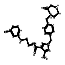 Nc1nn(Cc2ccc(CN3CCOCC3=O)cc2)cc1C(=O)NCCOc1cccc(Cl)c1